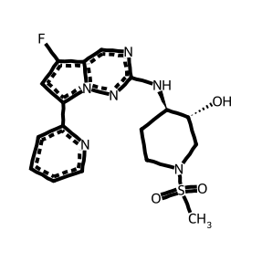 CS(=O)(=O)N1CC[C@@H](Nc2ncc3c(F)cc(-c4ccccn4)n3n2)[C@H](O)C1